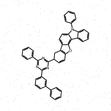 C1=CC(c2nc(-c3ccccc3)nc(-c3cccc(-c4ccccc4)c3)n2)Cc2c1oc1c2ccc2c1c1ccccc1n2-c1ccccc1